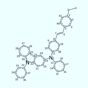 CCc1ccc(/C=C/c2ccc(N(c3ccccc3)c3ccc4c(c3)c3ccccc3n4-c3ccccc3)cc2)cc1